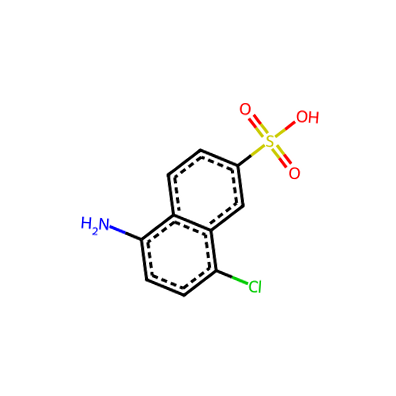 Nc1ccc(Cl)c2cc(S(=O)(=O)O)ccc12